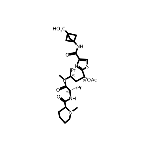 CC(=O)O[C@H](C[C@H](C(C)C)N(C)C(=O)[C@@H](NC(=O)C1CCCCN1C)C(C)C)c1nc(C(=O)NC23CC(C(=O)O)(C2)C3)cs1